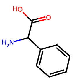 NC(C(=O)O)c1[c]cccc1